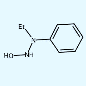 CCN(NO)c1ccccc1